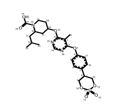 Cc1c(Oc2ccc(C3COS(=O)(=O)OC3)cc2)ncnc1OC1CCN(C(=O)O)C(CC(C)C)C1